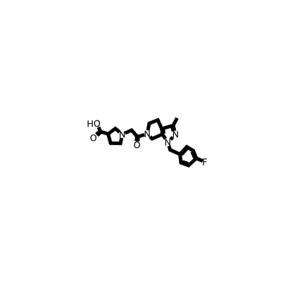 Cc1nn(Cc2ccc(F)cc2)c2c1CCN(C(=O)CN1CCC(C(=O)O)C1)C2